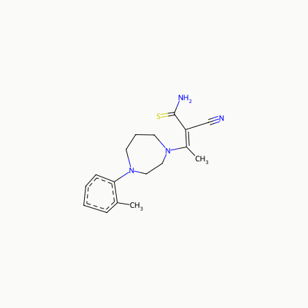 CC(=C(C#N)C(N)=S)N1CCCN(c2ccccc2C)CC1